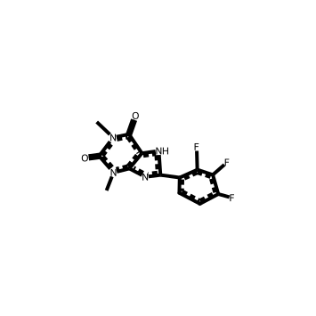 Cn1c(=O)c2[nH]c(-c3ccc(F)c(F)c3F)nc2n(C)c1=O